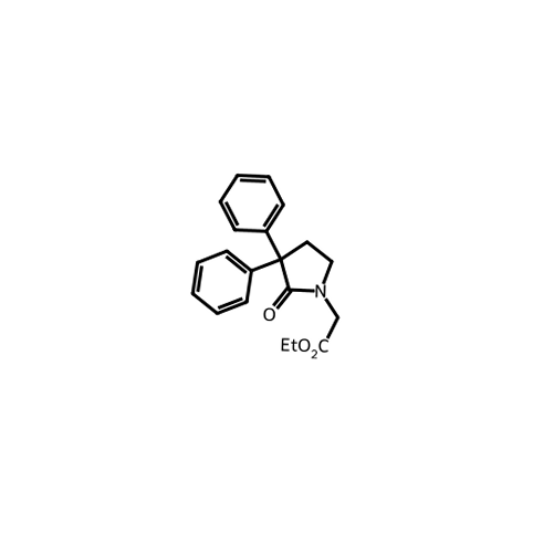 CCOC(=O)CN1CCC(c2ccccc2)(c2ccccc2)C1=O